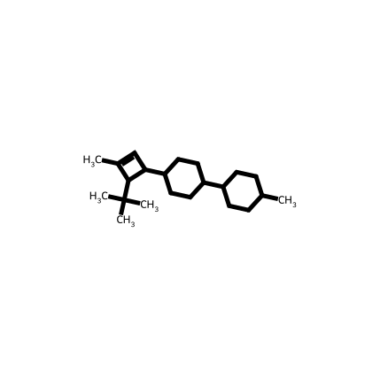 CC1=CC(C2CCC(C3CCC(C)CC3)CC2)C1C(C)(C)C